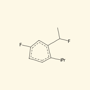 CC(C)c1ccc(F)cc1C(C)F